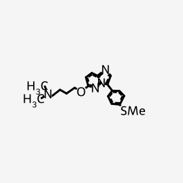 CSc1ccc(-c2cnc3ccc(OCCCCN(C)C)nn23)cc1